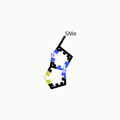 CSc1cn2ccsc2n1